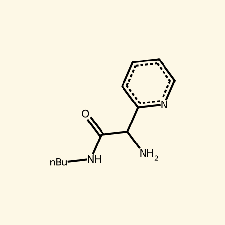 CCCCNC(=O)C(N)c1ccccn1